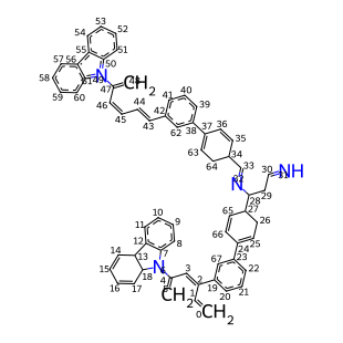 C=C/C(=C\C(=C)N1c2ccccc2C2C=CC=CC21)c1cccc(C2=CCC(C(CC=N)/N=C/C3C=CC(c4cccc(/C=C/C=C\C(=C)n5c6ccccc6c6ccccc65)c4)=CC3)C=C2)c1